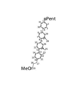 CCCCCc1ccc(-c2ccc(-c3ccc(-c4ccc(CCCOC)cc4C)c(C)c3)c(C)c2)cc1